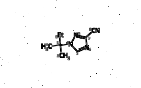 CCC(C)(C)n1cnc(C#N)n1